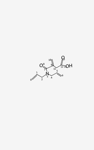 C=CCN(CC=C)C(=O)C(=C)CC(=O)O